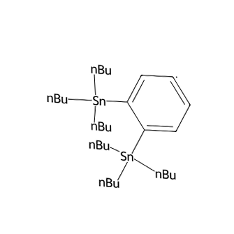 CCC[CH2][Sn]([CH2]CCC)([CH2]CCC)[c]1c[c]cc[c]1[Sn]([CH2]CCC)([CH2]CCC)[CH2]CCC